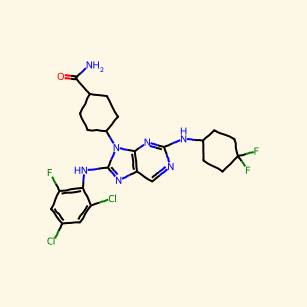 NC(=O)C1CCC(n2c(Nc3c(F)cc(Cl)cc3Cl)nc3cnc(NC4CCC(F)(F)CC4)nc32)CC1